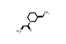 C=CC(=O)N1CCC/C(=C\C)C1